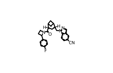 N#Cc1ccc2c(cnn2C[C@@H]2C[C@H](C(=O)N3CCC3c3ccc(F)cc3)C3CC2C3)c1